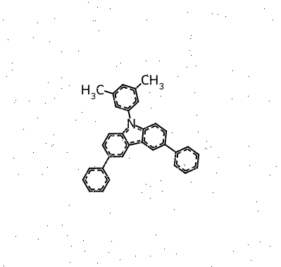 Cc1cc(C)cc(-n2c3ccc(-c4ccccc4)cc3c3cc(-c4ccccc4)ccc32)c1